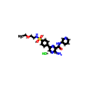 CCOCCNS(=O)(=O)c1ccc(-c2cnc(N)c(C(=O)Nc3cccnc3)n2)cc1.Cl